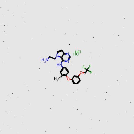 Cc1cc(Nc2ncnc3ccn(CCN)c23)ccc1Oc1cccc(OCC(F)(F)F)c1.Cl.Cl